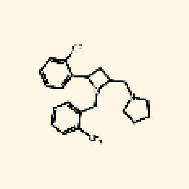 FC(F)(F)c1ccccc1CN1C(CN2CCCC2)CC1c1ccccc1C(F)(F)F